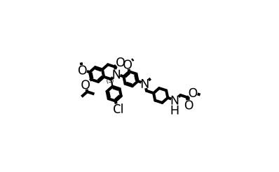 COC(=O)CNC1CCC(CN(C)c2ccc(N3C(=O)Cc4cc(OC)c(OC(C)C)cc4[C@@H]3c3ccc(Cl)cc3)c(OC)c2)CC1